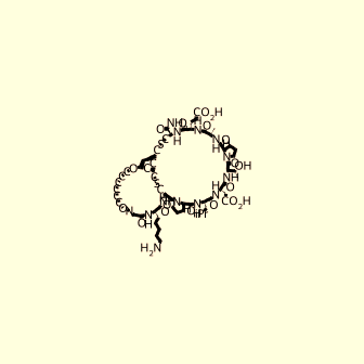 CC(C)C[C@@H]1NC(=O)[C@@H]2CCCN2C(=O)[C@@H]2CSCc3cc(cc(c3)OCCCCCCO/N=C/C(=O)N[C@@H](CCCCCN)C(=O)N2)CSC[C@@H](C(N)=O)NC(=O)[C@H](CCC(=O)O)NC(=O)[C@H](C)NC(=O)[C@@H]2CCCN2C(=O)[C@H]([C@@H](C)O)NC(=O)[C@H](CC(=O)O)NC1=O